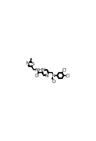 Cc1ncc(CNC(=O)c2cnc(CN(C=O)c3ccc(Cl)c(Cl)c3)cn2)s1